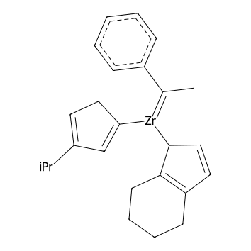 C/[C](c1ccccc1)=[Zr](/[C]1=CC(C(C)C)=CC1)[CH]1C=CC2=C1CCCC2